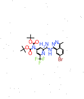 Cc1nnc(N[C@H](N)c2cc(N(C(=O)OC(C)(C)C)C(=O)OC(C)(C)C)cc(C(F)(F)F)n2)c2cc(Br)ccc12